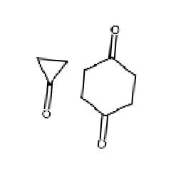 O=C1CC1.O=C1CCC(=O)CC1